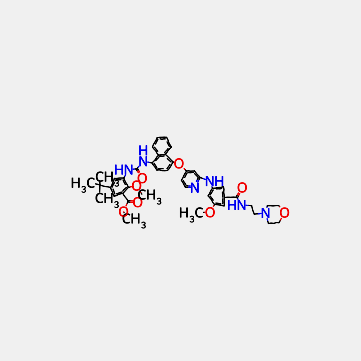 COC(=O)c1cc(C(C)(C)C)cc(NC(=O)Nc2ccc(Oc3ccnc(Nc4cc(OC)cc(C(=O)NCCN5CCOCC5)c4)c3)c3ccccc23)c1OC